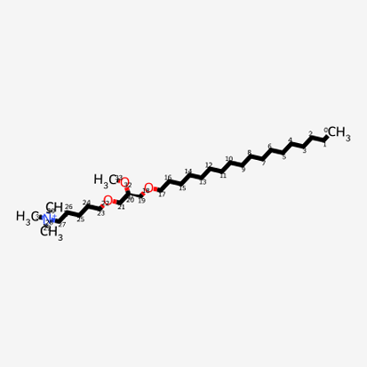 CCCCCCCCCCCCCCCCCCOC[C@@H](COCCCCC[N+](C)(C)C)OC